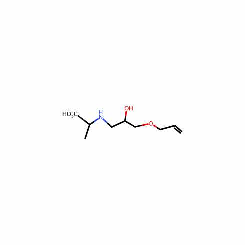 C=CCOCC(O)CNC(C)C(=O)O